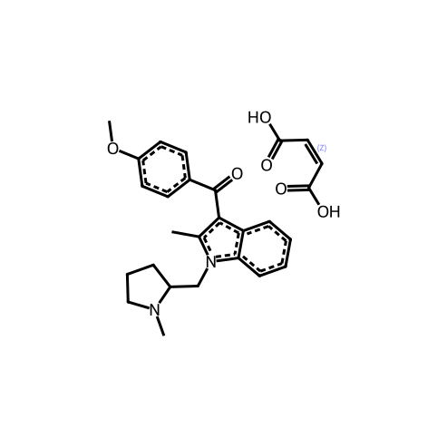 COc1ccc(C(=O)c2c(C)n(CC3CCCN3C)c3ccccc23)cc1.O=C(O)/C=C\C(=O)O